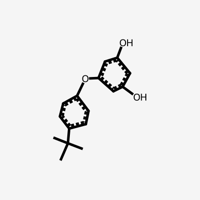 CC(C)(C)c1ccc(Oc2cc(O)cc(O)c2)cc1